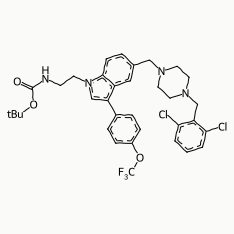 CC(C)(C)OC(=O)NCCn1cc(-c2ccc(OC(F)(F)F)cc2)c2cc(CN3CCN(Cc4c(Cl)cccc4Cl)CC3)ccc21